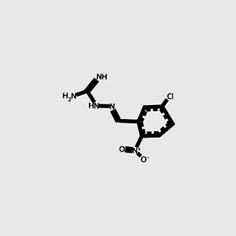 N=C(N)NN=Cc1cc(Cl)ccc1[N+](=O)[O-]